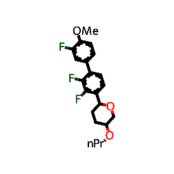 CCCOC1CCC(c2ccc(-c3ccc(OC)c(F)c3)c(F)c2F)OC1